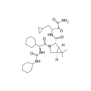 CC1(C)[C@@H]2[C@@H](C(=O)NC(CC3CC3)C(=O)C(N)=O)N(C(=O)[C@@H](NC(=O)NC3CCCCC3)C3CCCCC3)C[C@@H]21